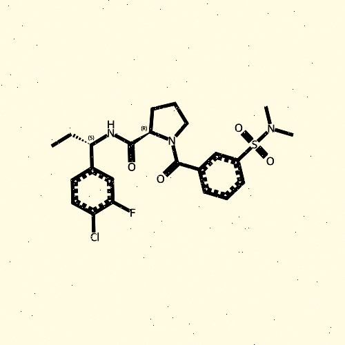 CC[C@H](NC(=O)[C@H]1CCCN1C(=O)c1cccc(S(=O)(=O)N(C)C)c1)c1ccc(Cl)c(F)c1